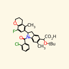 Cc1cc2c(cc1[C@H](OC(C)(C)C)C(=O)O)CC(c1cc(F)c3c(c1C)CCCO3)N2C(=O)c1ccccc1Cl